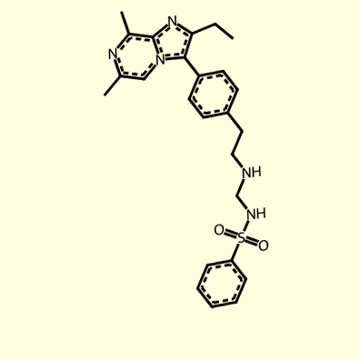 CCc1nc2c(C)nc(C)cn2c1-c1ccc(CCNCNS(=O)(=O)c2ccccc2)cc1